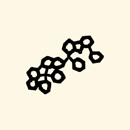 c1ccc(-c2cccc3c2oc2c(N(c4ccccc4)c4ccc5c6c(ccc5c4)-c4ccc5ccccc5c4C6(c4ccccc4)c4ccccc4)cccc23)cc1